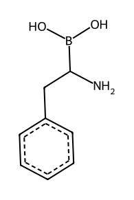 NC(Cc1ccccc1)B(O)O